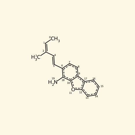 C/C=C(C)\C=C\c1ccc2c(oc3ccccc32)c1N